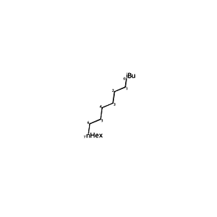 [CH2]CC(C)CCCCCCCCCCCC